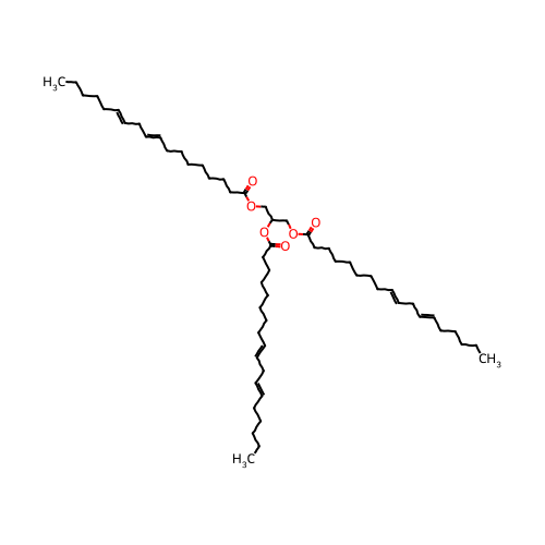 CCCCC/C=C/C/C=C/CCCCCCCC(=O)OCC(COC(=O)CCCCCCC/C=C/C/C=C/CCCCC)OC(=O)CCCCCCC/C=C/C/C=C/CCCCC